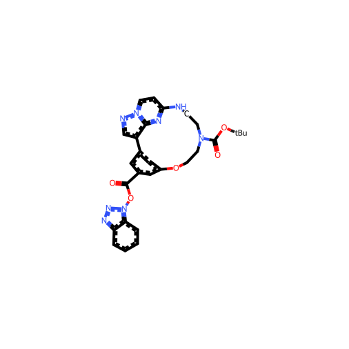 CC(C)(C)OC(=O)N1CCNc2ccn3ncc(c3n2)-c2cc(cc(C(=O)On3nnc4ccccc43)c2)OCC1